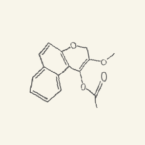 COC1=C(OC(C)=O)c2c(ccc3ccccc23)OC1